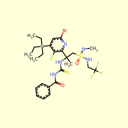 CC[Si](CC)(CC)c1cc(Br)nc(C(C)(CS(=O)(=NC)NCC(F)(F)F)NC(=S)NC(=O)c2ccccc2)c1F